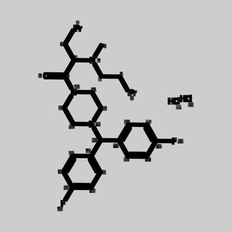 CC(C)CCN(C)C(CC(C)C)C(=O)N1CCN(C(c2ccc(F)cc2)c2ccc(F)cc2)CC1.Cl.Cl